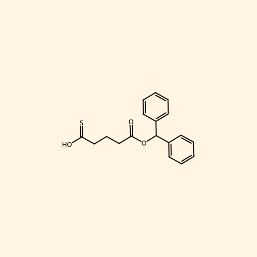 O=C(CCCC(O)=S)OC(c1ccccc1)c1ccccc1